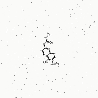 COc1ccc2cc(CC(=O)CCl)ccc2c1Cl